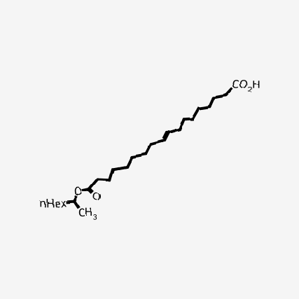 CCCCCCC(C)OC(=O)CCCCCCCC=CCCCCCCCC(=O)O